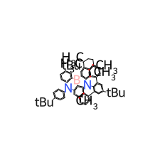 Cc1cc2c3c(c1)N(c1c(-c4ccccc4)cc(C(C)(C)C)cc1-c1ccccc1)c1cc4c(cc1B3c1cc(C(C)(C)C)ccc1N2c1ccc(C(C)(C)C)cc1)C(C)(C)CCC4(C)C